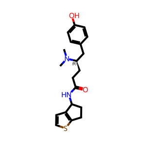 CN(C)[C@H](CCC(=O)NC1CCc2sccc21)Cc1ccc(O)cc1